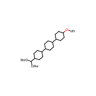 CCCOC1CCC(C2CCC(C3CCC(C(OC)OC)CC3)CC2)CC1